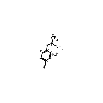 Cl.NC(Cc1ccc(F)cc1)C(F)(F)F